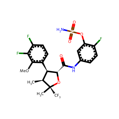 COc1c([C@H]2[C@H](C(=O)Nc3ccc(F)c(OS(N)(=O)=O)c3)O[C@@](C)(C(F)(F)F)[C@H]2C)ccc(F)c1F